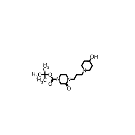 CC(C)(C)OC(=O)N1CCN(CCCN2CCC(O)CC2)C(=O)C1